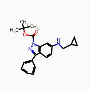 CC(C)(C)OC(=O)n1nc(-c2ccccc2)c2ccc(NCC3CC3)cc21